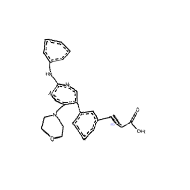 O=C(O)/C=C/c1cccc(-c2cnc(Nc3ccccc3)nc2N2CCOCC2)c1